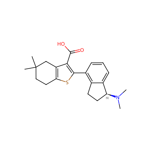 CN(C)[C@H]1CCc2c(-c3sc4c(c3C(=O)O)CC(C)(C)CC4)cccc21